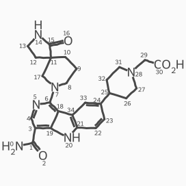 NC(=O)c1cnc(N2CCCC3(CCNC3=O)C2)c2c1[nH]c1ccc(C3CCN(CC(=O)O)CC3)cc12